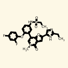 CCc1ncc(-c2cc3c(=O)n(C)cc(-c4cc(NS(=O)(=O)CC)ccc4Oc4ccc(F)cc4F)c3o2)[nH]1